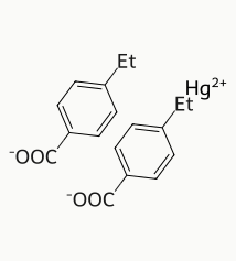 CCc1ccc(C(=O)[O-])cc1.CCc1ccc(C(=O)[O-])cc1.[Hg+2]